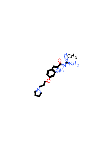 CNC(N)=NC(=O)c1cc2ccc(OCCCN3CCCC3)cc2[nH]1